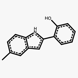 Cc1ccc2[nH]c(-c3ccccc3O)cc2c1